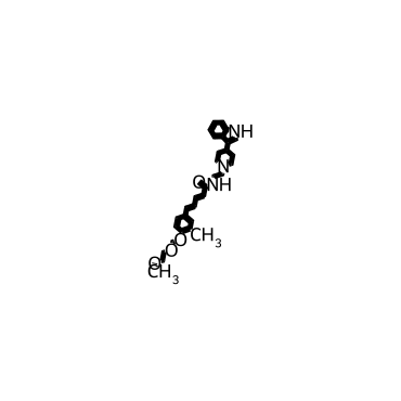 COCCOCOc1ccc(C=CC=CC(=O)NCCN2CCC(c3c[nH]c4ccccc34)CC2)cc1C